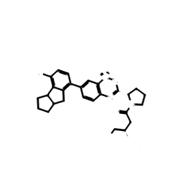 CC[C@H](C)CC(=O)N1CCC[C@H]1C1=Nc2ccc(-c3ccc(Br)c4c3CC3CCCC43)cc2S(=O)(=O)N1